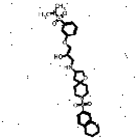 CN(C)S(=O)(=O)c1cccc(OCC(O)CNC2COC3(CCN(S(=O)(=O)c4ccc5c(c4)CCCC5)CC3)C2)c1